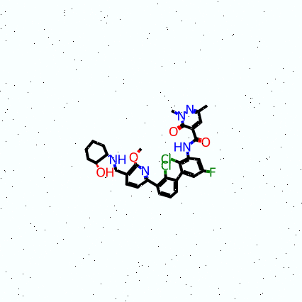 COc1nc(-c2cccc(-c3cc(F)cc(NC(=O)c4cc(C)nn(C)c4=O)c3Cl)c2Cl)ccc1CN[C@@H]1CCCC[C@@H]1O